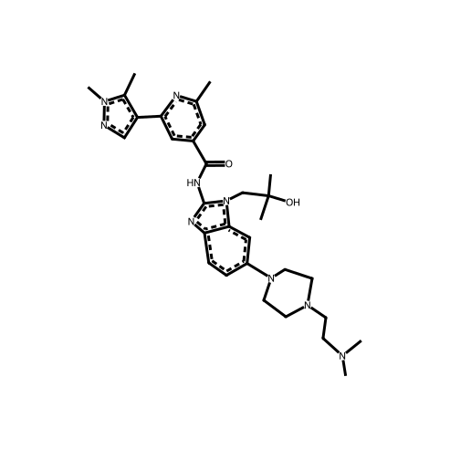 Cc1cc(C(=O)Nc2nc3ccc(N4CCN(CCN(C)C)CC4)cc3n2CC(C)(C)O)cc(-c2cnn(C)c2C)n1